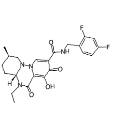 CCN1C(=O)c2c(O)c(=O)c(C(=O)NCc3ccc(F)cc3F)cn2N2C[C@H](C)CC[C@@H]12